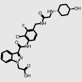 O=C(O)Cn1nc(C(=O)Nc2ccc(CNC(=O)CN[C@H]3CC[C@H](O)CC3)c(F)c2Cl)c2ccccc21